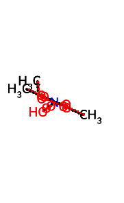 CCCCCCCCCCCOC(=O)OCCCCCN(CCCCCCOC(=O)OCC(CCCCCCCC)CCCCCCCC)CCOCCOCCO